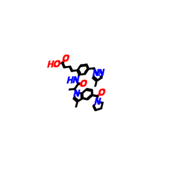 Cc1cnn(Cc2ccc(CCCC(=O)O)c(NC(=O)C(C)n3cc(C)c4cc(C(=O)N5CCCC5)ccc43)c2)c1